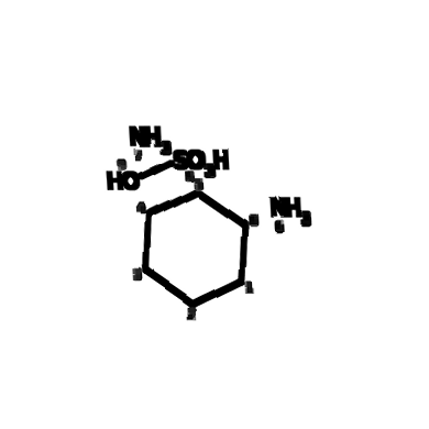 C1CCCCC1.N.N.O=S(=O)(O)O